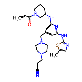 C=CC(=O)N1CCC[C@H](Nc2cc(CN3CCN(CCC#N)CC3)cc(Nc3ncc(C)s3)n2)C1